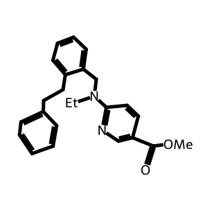 CCN(Cc1ccccc1CCc1ccccc1)c1ccc(C(=O)OC)cn1